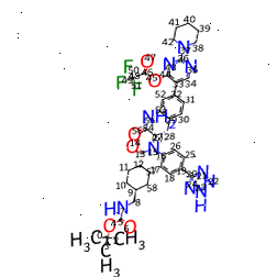 CC(C)(C)OC(=O)NC[C@H]1CC[C@H](C(=O)N(c2ccc(-c3nn[nH]n3)cc2)[C@@H](Cc2ccc(-c3cnc(N4CCCCC4)nc3OC(=O)C(F)(F)F)cc2)C(N)=O)CC1